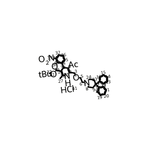 CC(=O)C1=C(COCCN2CCC(c3ccccc3)(c3ccccc3)CC2)NC(C)=C(C(=O)OC(C)(C)C)C1c1cccc([N+](=O)[O-])c1.Cl